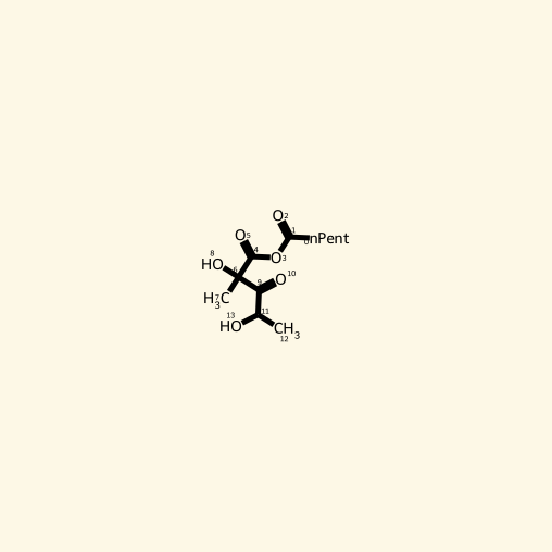 CCCCCC(=O)OC(=O)C(C)(O)C(=O)C(C)O